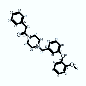 COc1ccccc1Oc1cccc(CN2CCN(C(=O)Cc3ccccc3)CC2)c1